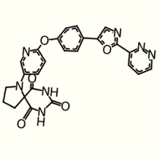 O=C1NC(=O)C2(CCCN2c2ccc(Oc3ccc(-c4cnc(-c5cccnn5)o4)cc3)nc2)C(=O)N1